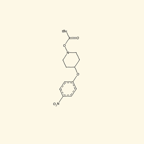 CC(C)(C)C(=O)ON1CCC(Oc2ccc([N+](=O)[O-])cc2)CC1